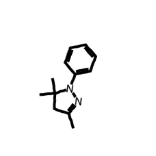 CC1=NN(c2ccccc2)C(C)(C)C1